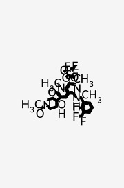 CC(=O)N1CCC(O)(c2cc3c(NC(C)c4cccc(C(F)F)c4F)nc(C)c(OS(=O)(=O)C(F)(F)F)c3n(C)c2=O)CC1